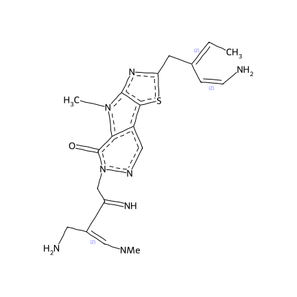 C/C=C(\C=C/N)Cc1nc2c(s1)c1cnn(CC(=N)/C(=C\NC)CN)c(=O)c1n2C